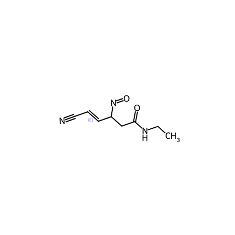 CCNC(=O)CC(/C=C/C#N)N=O